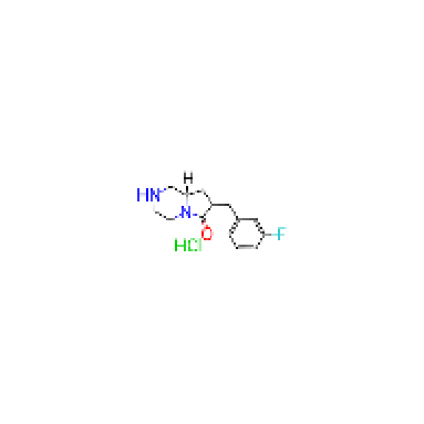 Cl.O=C1C(Cc2cccc(F)c2)C[C@H]2CNCCN12